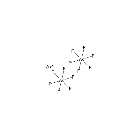 F[As-](F)(F)(F)(F)F.F[As-](F)(F)(F)(F)F.[Zn+2]